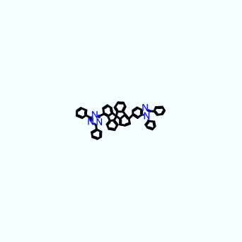 c1ccc(-c2nc(-c3ccccc3)nc(-c3cccc4c3-c3ccccc3C43c4ccccc4-c4c(-c5ccc6nc(-c7ccccc7)n(-c7ccccc7)c6c5)cccc43)n2)cc1